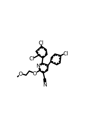 COCCOc1nc(-c2ccc(Cl)cc2Cl)c(-c2ccc(Cl)cc2)cc1C#N